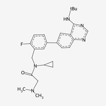 CN(C)CC(=O)N(Cc1cc(-c2ccc3ncnc(NC(C)(C)C)c3c2)ccc1F)C1CC1